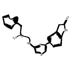 N[C@H](CNc1cncc(-c2ccc3c(c2)CC(=O)N3)n1)Cc1ccccc1